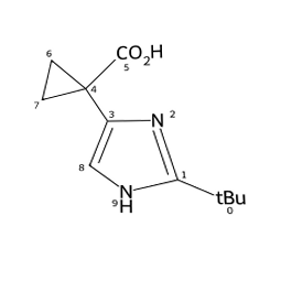 CC(C)(C)c1nc(C2(C(=O)O)CC2)c[nH]1